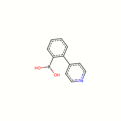 OB(O)c1ccccc1-c1ccncc1